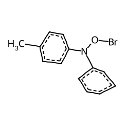 Cc1ccc(N(OBr)c2ccccc2)cc1